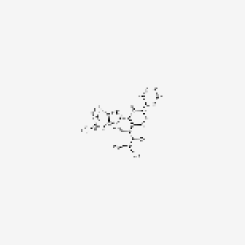 Cc1nc2c3c(c(C(=O)N(C)C)cn2c1CN(C)C)CCC(c1ccccc1)O3